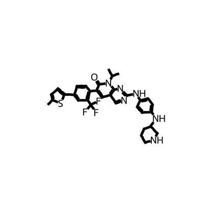 Cc1ccc(-c2ccc(-c3cc4cnc(Nc5ccc(NC6CCCNC6)cc5)nc4n(C(C)C)c3=O)c(C(F)(F)F)c2)s1